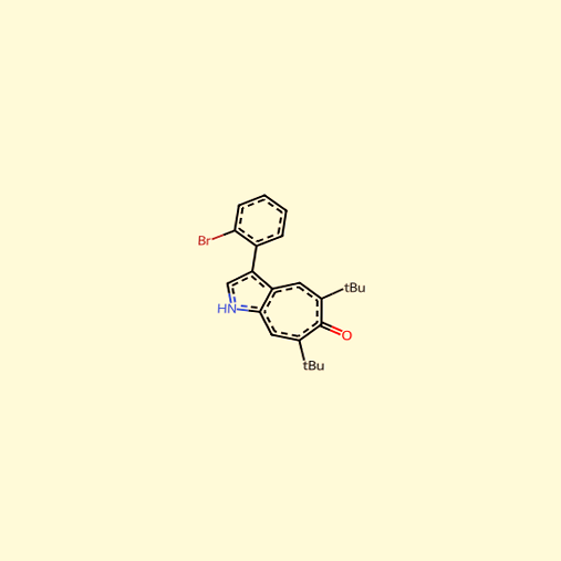 CC(C)(C)c1cc2[nH]cc(-c3ccccc3Br)c2cc(C(C)(C)C)c1=O